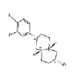 CCC[C@@H]1CC[C@@H]2C[C@H](c3ccc(F)c(F)c3)CC[C@@H]2C1